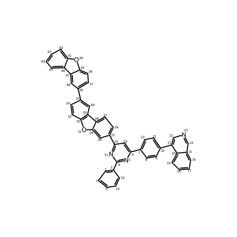 c1ccc(-c2nc(-c3ccc(-c4cncc5ccccc45)cc3)cc(-c3ccc4c(c3)oc3ccc(-c5ccc6oc7ccccc7c6c5)cc34)n2)cc1